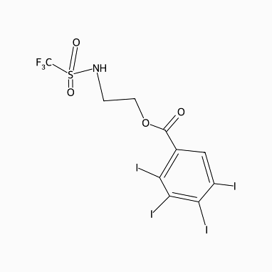 O=C(OCCNS(=O)(=O)C(F)(F)F)c1cc(I)c(I)c(I)c1I